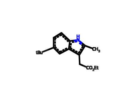 CCOC(=O)Cc1c(C)[nH]c2ccc(C(C)(C)C)cc12